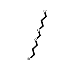 BrCCCO[CH]OCCCBr